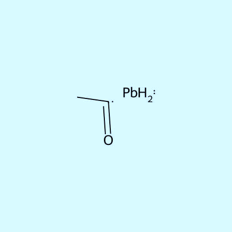 C[C]=O.[PbH2]